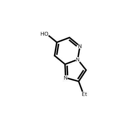 CCc1cn2ncc(O)cc2n1